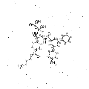 CCCCOC(=O)N1CCN(C(=O)[C@H](CP(=O)(O)O)NC(=O)c2cc(N3CCN(C)CC3)cc(-c3ccccc3)n2)CC1.O=CO